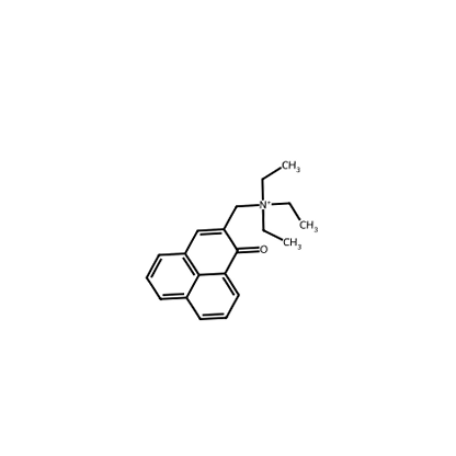 CC[N+](CC)(CC)CC1=Cc2cccc3cccc(c23)C1=O